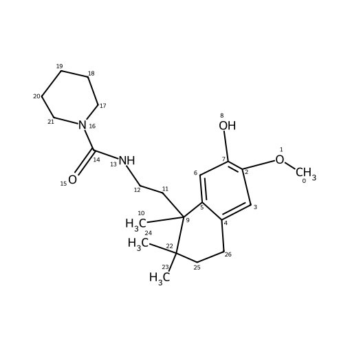 COc1cc2c(cc1O)C(C)(CCNC(=O)N1CCCCC1)C(C)(C)CC2